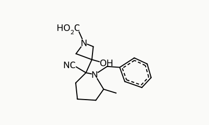 CC1CCCC(C#N)(C2(O)CN(C(=O)O)C2)N1Cc1ccccc1